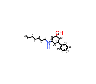 CCCCCCCNC1CC(O)CC(c2ccccc2)C1